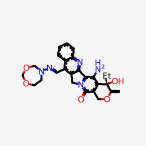 C=C1OCc2c(c(N)c3n(c2=O)Cc2c-3nc3ccccc3c2/C=N/N2CCOCOC2)[C@@]1(O)CC